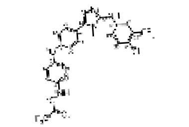 O=C(ONc1ccc(Oc2ccc(-c3nnc(Nc4ccc(Cl)c(C(F)(F)F)c4)[nH]3)cc2)nn1)C(F)(F)F